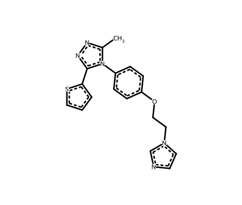 Cc1nnc(-c2cccs2)n1-c1ccc(OCCn2ccnc2)cc1